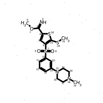 COC(=N)c1cc(S(=O)(=O)c2cccc(N3CCN(C)CC3)c2)c(SC)s1